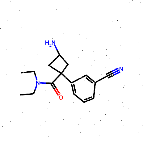 CCN(CC)C(=O)C1(c2cccc(C#N)c2)CC(N)C1